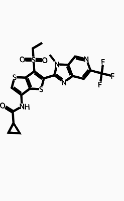 CCS(=O)(=O)c1c(-c2nc3cc(C(F)(F)F)ncc3n2C)sc2c(NC(=O)C3CC3)csc12